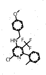 COc1ccc(CNc2cc(Cl)nc(-c3ccccc3C)c2C(F)(F)F)cc1